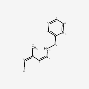 CC(/C=N\NCc1ccccn1)=C/I